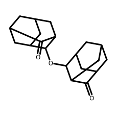 O=C1C2CC3CC(C2)C(OC2C4CC5CC(C4)C(=O)C2C5)C1C3